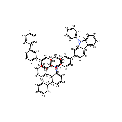 c1ccc(-c2cccc(-c3ccc(N(c4ccc(-c5ccc6c7ccccc7n(-c7ccccc7)c6c5)cc4)c4cccc(-c5ccccc5)c4-c4ccccc4-c4ccccc4)cc3)c2)cc1